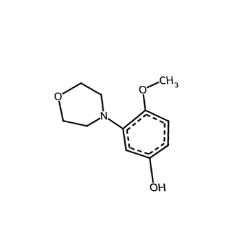 COc1ccc(O)cc1N1CCOCC1